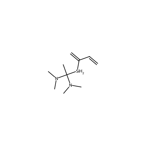 C=CC(=C)[SiH2]C(C)(N(C)C)N(C)C